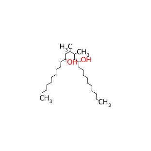 CCCCCCCCCCC(O)CC(C)C(C)CC(O)CCCCCCCCCC